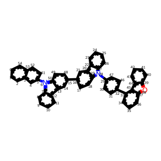 c1ccc2cc(-n3c4ccccc4c4cc(-c5ccc6c(c5)c5ccccc5n6-c5ccc(-c6cccc7oc8ccccc8c67)cc5)ccc43)ccc2c1